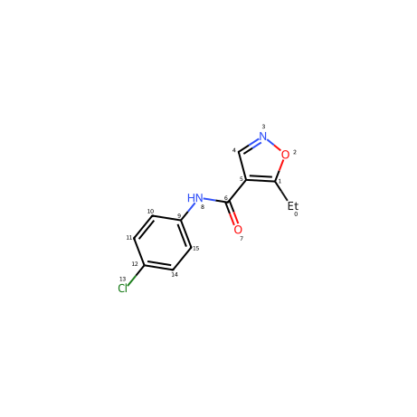 CCc1oncc1C(=O)Nc1ccc(Cl)cc1